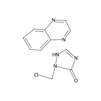 O=c1nc[nH]n1CCl.c1ccc2nccnc2c1